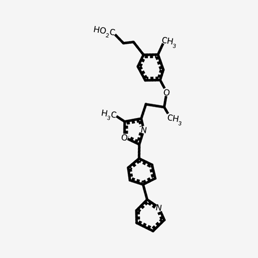 Cc1cc(OC(C)Cc2nc(-c3ccc(-c4ccccn4)cc3)oc2C)ccc1CCC(=O)O